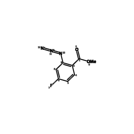 COC(=O)c1ccc(F)cc1N=[N+]=[N-]